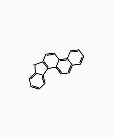 [CH]1c2ccccc2-c2c1ccc1c2ccc2ccccc21